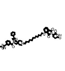 O=C1CCC(N2C(=O)c3cccc(OCCCCCCCCCCCCN4CCC(CNC(=O)c5cccc(-c6noc(C(F)(F)F)n6)c5)(c5nc(-c6ccccc6)cs5)CC4)c3C2=O)C(=O)N1